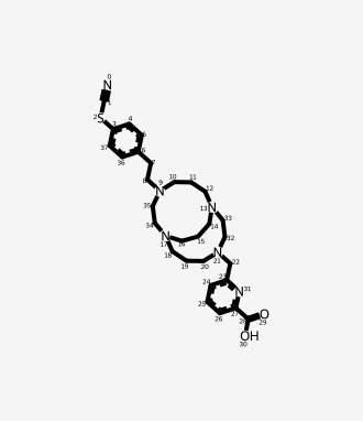 N#CSc1ccc(CCN2CCCN3CCCN(CCCN(Cc4cccc(C(=O)O)n4)CC3)CC2)cc1